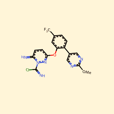 COc1ncc(-c2ccc(C(F)(F)F)cc2Oc2ccc(=N)n(C(=N)Cl)n2)cn1